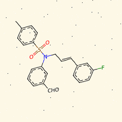 Cc1ccc(S(=O)(=O)N(CC=Cc2cccc(F)c2)c2cccc(C=O)c2)cc1